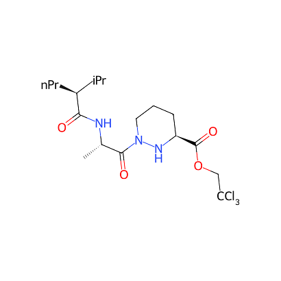 CCC[C@H](C(=O)N[C@@H](C)C(=O)N1CCC[C@@H](C(=O)OCC(Cl)(Cl)Cl)N1)C(C)C